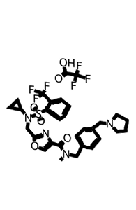 CN(Cc1ccc(CN2CCCC2)cc1)C(=O)c1coc(CN(C2CC2)S(=O)(=O)c2ccccc2C(F)(F)F)n1.O=C(O)C(F)(F)F